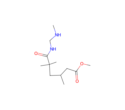 CNCNC(=O)C(C)(C)CC(C)CC(=O)OC